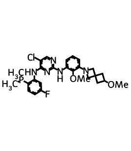 COc1c(Nc2ncc(Cl)c(Nc3cc(F)ccc3P(C)C)n2)cccc1N1CC2(CC(OC)C2)C1